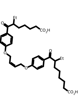 CCC(CCCCCC(=O)O)C(=O)c1ccc(OC/C=C\COc2ccc(C(=O)C(CC)CCCCC(=O)O)cc2)cc1